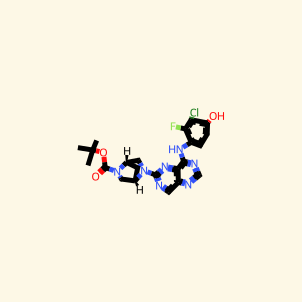 CC(C)(C)OC(=O)N1C[C@@H]2C[C@H]1CN2c1ncc2ncnc(Nc3ccc(O)c(Cl)c3F)c2n1